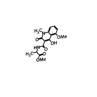 COC(=O)C(C)NC(=O)c1c(O)c2c(OC)cccc2n(C)c1=O